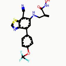 C=C(CNc1cc(-c2ccc(OC(F)(F)F)cc2)c2ncsc2c1C#N)C(=O)NO